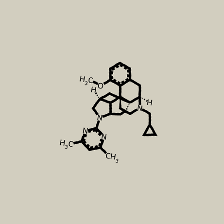 COc1cccc2c1[C@]13CCN(CC4CC4)[C@H](C2)[C@]12CCC1C3[C@@H](CN1c1nc(C)cc(C)n1)C2